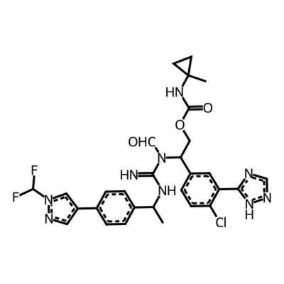 CC(NC(=N)N(C=O)C(COC(=O)NC1(C)CC1)c1ccc(Cl)c(-c2ncn[nH]2)c1)c1ccc(-c2cnn(C(F)F)c2)cc1